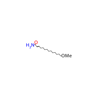 COCCCCCCCCCCCC=CC(N)=O